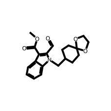 COC(=O)c1c(C=O)n(CC2CCC3(CC2)OCCO3)c2ccccc12